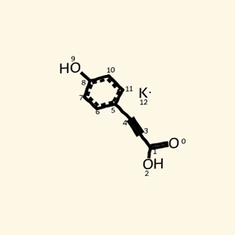 O=C(O)C#Cc1ccc(O)cc1.[K]